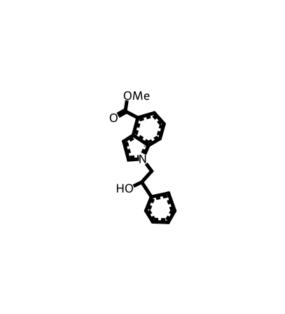 COC(=O)c1cccc2c1ccn2CC(O)c1ccccc1